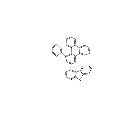 c1ccc(-c2cc(-c3cccc4sc5ccccc5c34)cc3c4ccccc4c4ccccc4c23)cc1